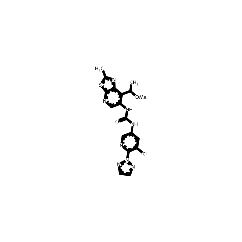 COC(C)c1c(NC(=O)Nc2cnc(-n3nccn3)c(Cl)c2)cnc2sc(C)nc12